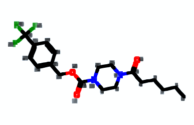 CCCCCC(=O)N1CCN(C(=O)OCc2ccc(C(F)(F)F)cc2)CC1